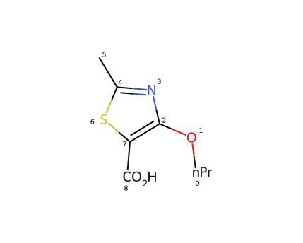 CCCOc1nc(C)sc1C(=O)O